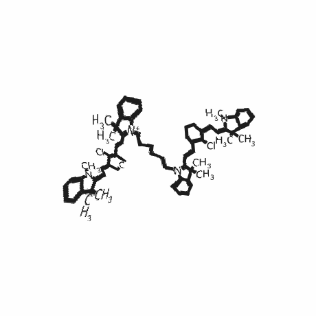 CN1C(=CC=C2CCCC(C=CC3=[N+](CCCCCC[N+]4=C(C=CC5=C(Cl)C(=CC=C6N(C)c7ccccc7C6(C)C)CCC5)C(C)(C)c5ccccc54)c4ccccc4C3(C)C)=C2Cl)C(C)(C)c2ccccc21